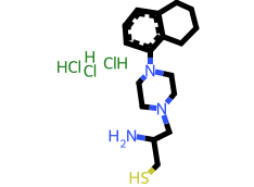 Cl.Cl.Cl.NC(CS)CN1CCN(c2cccc3c2CCCC3)CC1